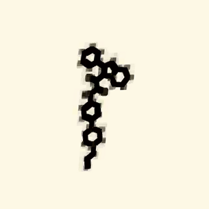 C=CCN1CCN(c2ccc(NC(=O)C(=O)c3c(-c4ccccc4)cc4n3CCCC4)cc2)CC1